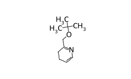 CC(C)(C)OCC1=NC=CCC1